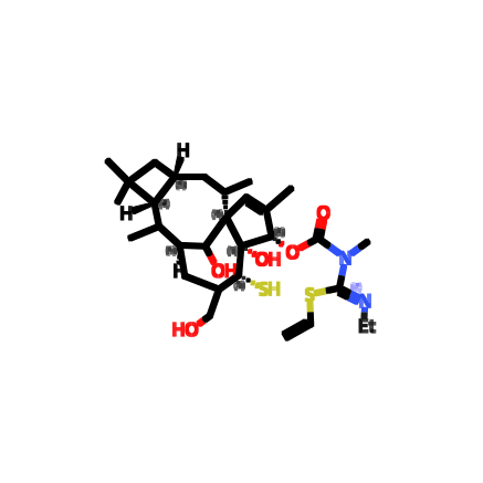 C=CS/C(=N\CC)N(C)C(=O)O[C@H]1C(C)=C[C@@]23C(C)C[C@H]4CC(C)(C)[C@H]4C(C)[C@H](CC(CO)[C@@H](S)[C@]12O)C3O